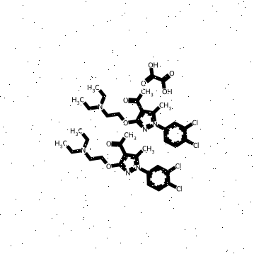 CCN(CC)CCOc1nn(-c2ccc(Cl)c(Cl)c2)c(C)c1C(C)=O.CCN(CC)CCOc1nn(-c2ccc(Cl)c(Cl)c2)c(C)c1C(C)=O.O=C(O)C(=O)O